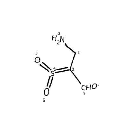 NCC([C]=O)=S(=O)=O